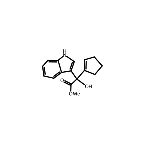 COC(=O)C(O)(C1=CCCC1)c1c[nH]c2ccccc12